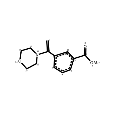 C=C(c1cccc(C(=O)OC)c1)N1CCOCC1